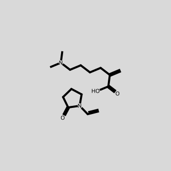 C=C(CCCCN(C)C)C(=O)O.C=CN1CCCC1=O